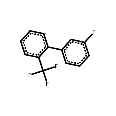 Fc1cccc(-c2[c]cccc2C(F)(F)F)c1